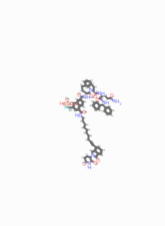 NC(=O)CC[C@H](NC(=O)[C@@H]1Cc2cccc3c2N1C(=O)[C@@H](NC(=O)c1ccc2c(C(=O)NCCCCCCCCC#Cc4cccc5c4CN(C4CCC(=O)NC4=O)C5=O)cc(C(F)(F)P(=O)(O)O)cc2c1)CC3)C(=O)NC(c1ccccc1)c1ccccc1